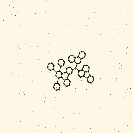 c1ccc(-c2cc(-c3ccccc3)c3c4ccccc4c4cc(N(c5ccc6c7c(cccc57)-c5ccccc5-6)c5cc6ccccc6c6ccccc56)ccc4c3c2-c2ccccc2)cc1